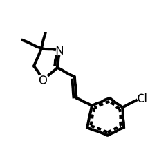 CC1(C)COC(C=Cc2cccc(Cl)c2)=N1